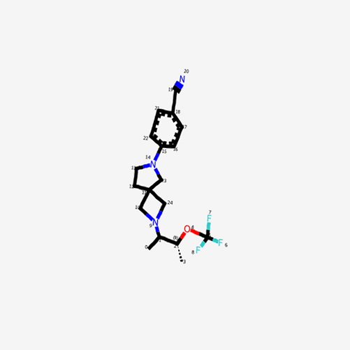 CC([C@@H](C)OC(F)(F)F)N1CC2(CCN(c3ccc(C#N)cc3)C2)C1